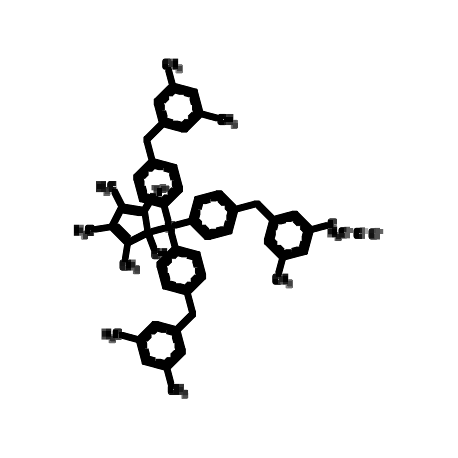 CC1=C(C)C(C)([Si](c2ccc(Cc3cc(C)cc(C)c3)cc2)(c2ccc(Cc3cc(C)cc(C)c3)cc2)c2ccc(Cc3cc(C)cc(C)c3)cc2)[C]([Ti+3])=C1C.[Cl-].[Cl-].[Cl-]